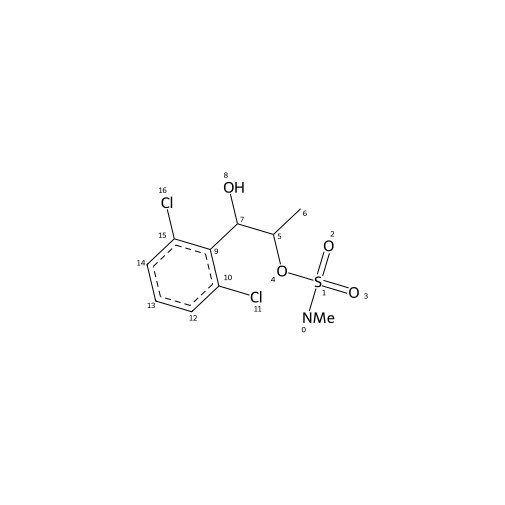 CNS(=O)(=O)OC(C)C(O)c1c(Cl)cccc1Cl